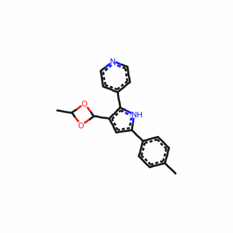 Cc1ccc(-c2cc(C3OC(C)O3)c(-c3ccncc3)[nH]2)cc1